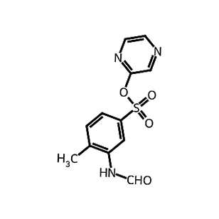 Cc1ccc(S(=O)(=O)Oc2cnccn2)cc1NC=O